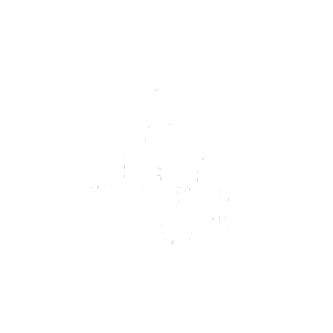 CC1=[C]([Ti+2](=[C](C)C)[c]2cccc3c2Cc2ccccc2-3)CC=C1.[Cl-].[Cl-]